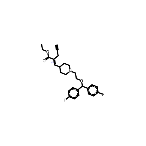 C#CC/C(=C\C1CCN(CCOC(c2ccc(F)cc2)c2ccc(F)cc2)CC1)C(=O)OCC